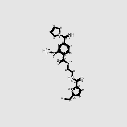 CSc1cc(C(=N)N2CC=CC2)ccc1C(=O)SCCNC(=O)c1ccc(CI)s1